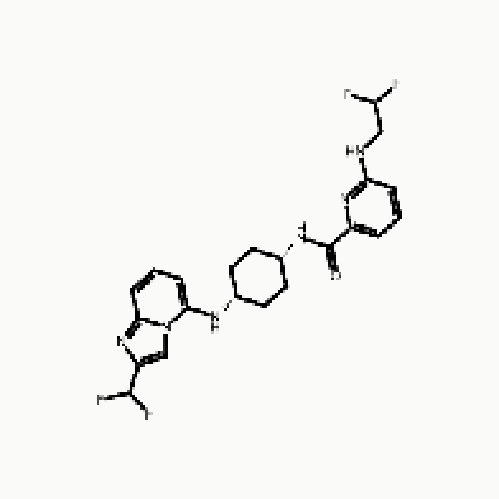 O=C(N[C@H]1CC[C@@H](Nc2cccc3nc(C(F)F)cn23)CC1)c1cccc(NCC(F)F)n1